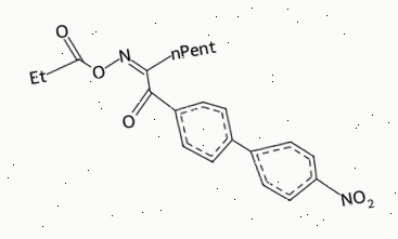 CCCCC/C(=N/OC(=O)CC)C(=O)c1ccc(-c2ccc([N+](=O)[O-])cc2)cc1